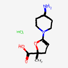 CC1(C(=O)O)CC=C(N2CCC(N)CC2)O1.Cl